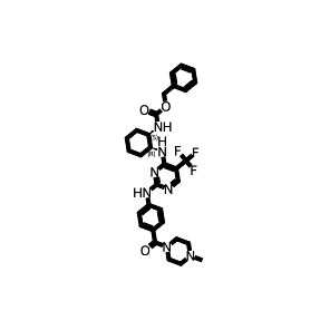 CN1CCN(C(=O)c2ccc(Nc3ncc(C(F)(F)F)c(N[C@@H]4CCCC[C@@H]4NC(=O)OCc4ccccc4)n3)cc2)CC1